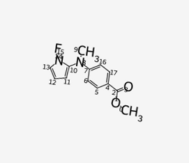 COC(=O)c1ccc(N(C)c2cccn2F)cc1